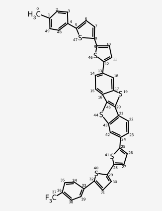 Cc1ccc(-c2ccc(-c3ccc(-c4ccc5c(c4)sc4c6ccc(-c7ccc(-c8ccc(-c9ccc(C(F)(F)F)cc9)s8)s7)cc6sc54)s3)s2)cc1